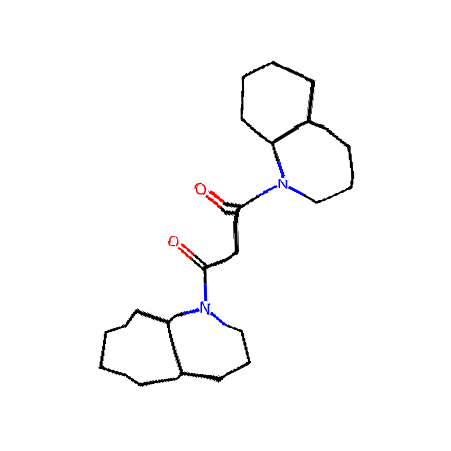 O=C(CC(=O)N1CCCC2CCCCC21)N1CCCC2CCCCC21